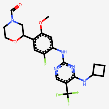 COc1cc(Nc2ncc(C(F)(F)F)c(NC3CCC3)n2)c(F)cc1C1CN(C=O)CCO1